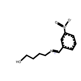 O=[N+]([O-])c1cccc(/C=N/CCCCO)c1